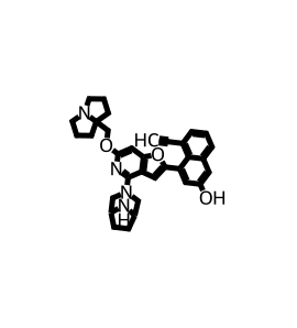 C#Cc1cccc2cc(O)cc(-c3cc4c(N5CC6CCC(C5)N6)nc(OCC56CCCN5CCC6)cc4o3)c12